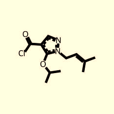 CC(C)=CCn1ncc(C(=O)Cl)c1OC(C)C